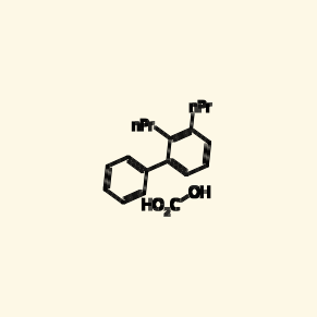 CCCc1cccc(-c2ccccc2)c1CCC.O=C(O)O